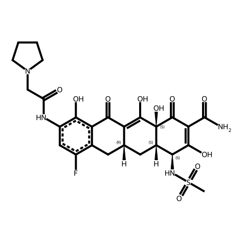 CS(=O)(=O)N[C@@H]1C(O)=C(C(N)=O)C(=O)[C@@]2(O)C(O)=C3C(=O)c4c(O)c(NC(=O)CN5CCCC5)cc(F)c4C[C@H]3C[C@@H]12